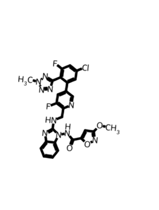 COc1cc(C(=O)Nn2c(NCc3ncc(-c4cc(Cl)cc(F)c4-c4nnn(C)n4)cc3F)nc3ccccc32)on1